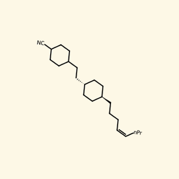 CCC/C=C\CCC[C@H]1CC[C@H](CCC2CCC(C#N)CC2)CC1